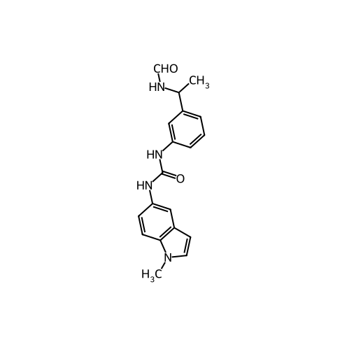 CC(NC=O)c1cccc(NC(=O)Nc2ccc3c(ccn3C)c2)c1